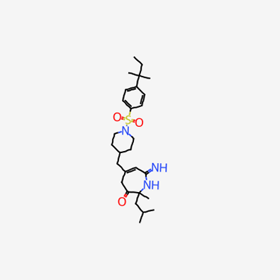 CCC(C)(C)c1ccc(S(=O)(=O)N2CCC(CC3=CC(=N)NC(C)(CC(C)C)C(=O)C3)CC2)cc1